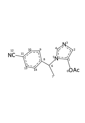 CC(=O)Oc1cncn1C(C)c1ccc(C#N)cc1